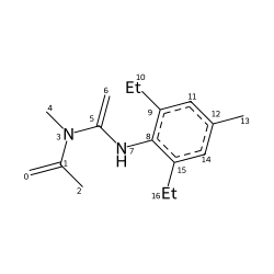 C=C(C)N(C)C(=C)Nc1c(CC)cc(C)cc1CC